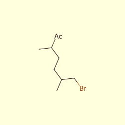 CC(=O)C(C)CCC(C)CBr